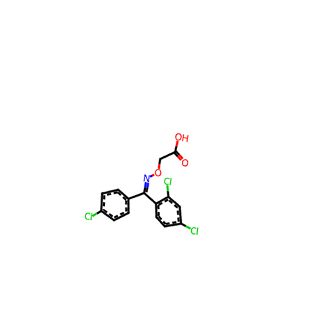 O=C(O)CON=C(c1ccc(Cl)cc1)c1ccc(Cl)cc1Cl